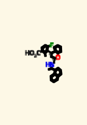 Cc1c(C(=O)O)ccc(F)c1[C@@H]1C[C@H](CNC(C)c2cccc3ccccc23)Oc2ccccc21